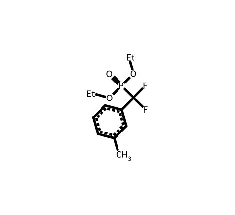 CCOP(=O)(OCC)C(F)(F)c1cccc(C)c1